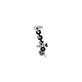 CC(C)Oc1ccc(S(N)(=O)=O)cc1Nc1nc(-c2ccc(C3=CCN(C(=O)O)CC3)nc2)cs1